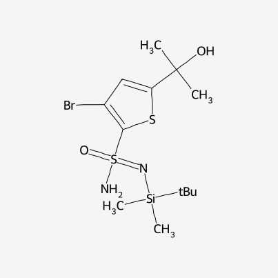 CC(C)(O)c1cc(Br)c(S(N)(=O)=N[Si](C)(C)C(C)(C)C)s1